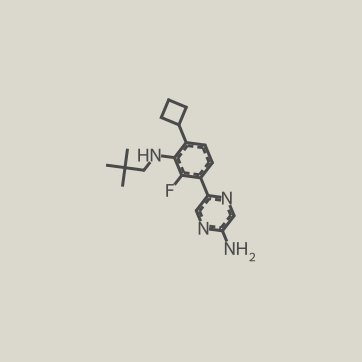 CC(C)(C)CNc1c(C2CCC2)ccc(-c2cnc(N)cn2)c1F